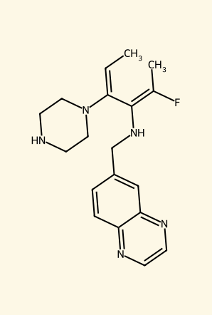 C/C=C(\C(NCc1ccc2nccnc2c1)=C(/C)F)N1CCNCC1